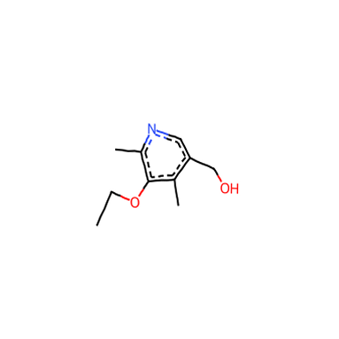 CCOc1c(C)ncc(CO)c1C